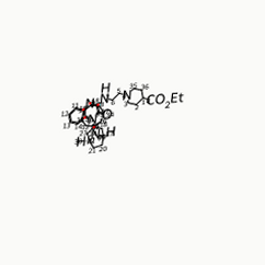 CCOC(=O)C1CCN(CCNc2nc3ccccc3n([C@H]3C[C@H]4CC[C@@H](C3)N4C3CCCCCCC3)c2=O)CC1